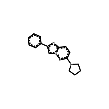 c1ccc(-c2cn3nc(N4CCCC4)ccc3n2)cc1